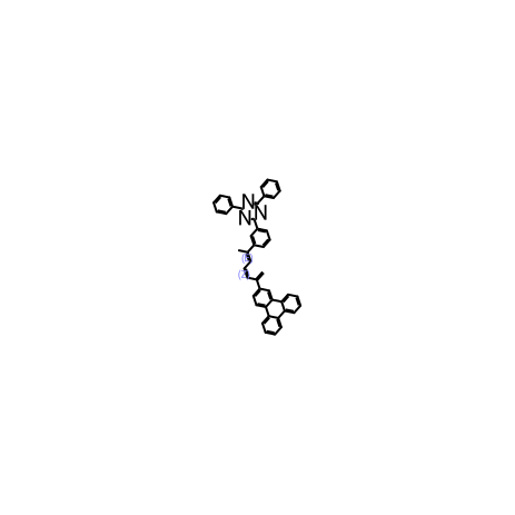 C=C(/C=C\C=C(/C)c1cccc(-c2nc(-c3ccccc3)nc(-c3ccccc3)n2)c1)c1ccc2c3ccccc3c3ccccc3c2c1